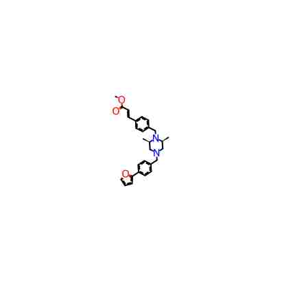 COC(=O)C=Cc1ccc(CN2[C@H](C)CN(Cc3ccc(-c4ccco4)cc3)C[C@@H]2C)cc1